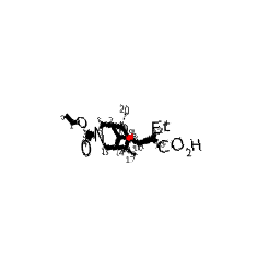 C=COC(=O)N1CC2C(CC=C(CC)C(=O)O)C(C1)[C@H](C)C[C@H]2C